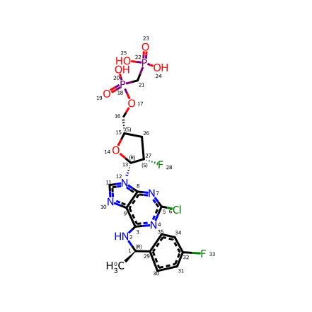 C[C@@H](Nc1nc(Cl)nc2c1ncn2[C@@H]1O[C@H](COP(=O)(O)CP(=O)(O)O)C[C@@H]1F)c1ccc(F)cc1